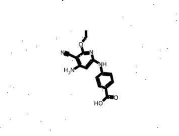 CCOc1nc(Nc2ccc(C(=O)O)cc2)cc(N)c1C#N